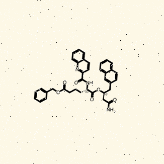 NC(=O)C[C@H](Cc1ccc2ccccc2c1)OC(=O)[C@H](CCCC(=O)OCc1ccccc1)NC(=O)c1ccc2ccccc2n1